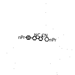 CCCC12CCC(c3ccc(-c4ccc([C@H]5CC[C@H](CCC)CC5)c(C#N)c4C#N)cc3)(CC1)CC2